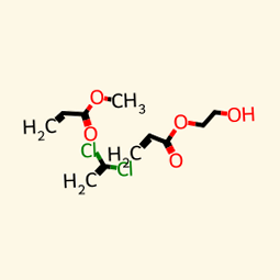 C=C(Cl)Cl.C=CC(=O)OC.C=CC(=O)OCCO